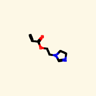 C=CC(=O)OCCN1C=NCC1